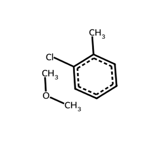 COC.Cc1ccccc1Cl